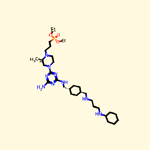 CCOP(=O)(CCCN1CCN(c2nc(N)nc(NC[C@H]3CC[C@H](CNCCCNC4CCCCC4)CC3)n2)C[C@H]1C)OCC